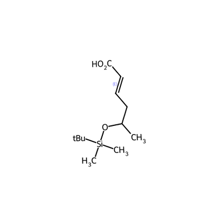 CC(C/C=C/C(=O)O)O[Si](C)(C)C(C)(C)C